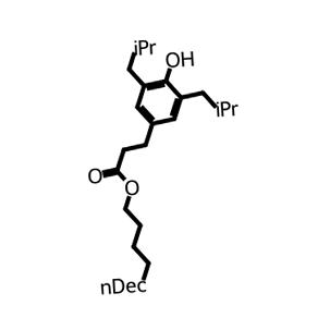 CCCCCCCCCCCCCCOC(=O)CCc1cc(CC(C)C)c(O)c(CC(C)C)c1